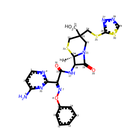 Nc1ccnc(C(=NOc2ccccc2)C(=O)NC2C(=O)N3CC(CSc4nncs4)(C(=O)O)CS[C@H]23)n1